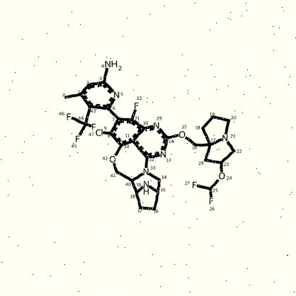 Cc1cc(N)nc(-c2c(Cl)c3c4c(nc(OCC56CCCN5CC(OC(F)F)C6)nc4c2F)N2CC4CCC(N4)C2CO3)c1C(F)(F)F